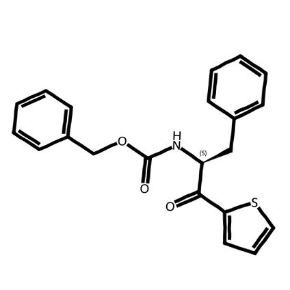 O=C(N[C@@H](Cc1ccccc1)C(=O)c1cccs1)OCc1ccccc1